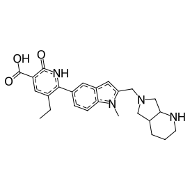 CCc1cc(C(=O)O)c(=O)[nH]c1-c1ccc2c(c1)cc(CN1CC3CCCNC3C1)n2C